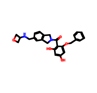 O=C(c1c(O)cc(O)cc1OCc1ccccc1)N1Cc2ccc(CNC3COC3)cc2C1